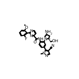 COc1cccc(F)c1-c1nccc(C(=O)Nc2ccc(-c3c(C#N)cnn3C)cc2N2C[C@@H](N)C[C@H]2CO)n1